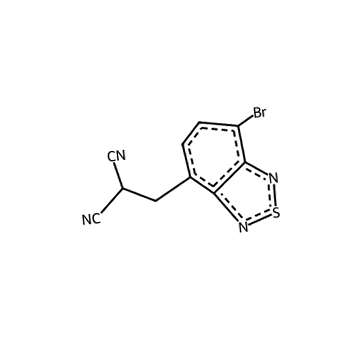 N#CC(C#N)Cc1ccc(Br)c2nsnc12